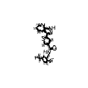 O=C(NCc1cc(C(F)(F)F)ccc1F)c1csc(-c2n[nH]c3ncccc23)c1